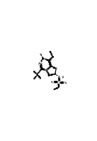 CCC1=C2C[C@H](NS(=O)(=O)CC)CN2C(C(C)(C)C)=N[C@H]1C